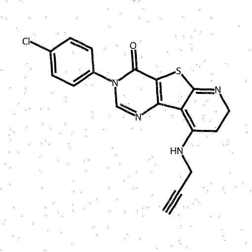 C#CCNC1=c2c(sc3c(=O)n(-c4ccc(Cl)cc4)cnc23)=NCC1